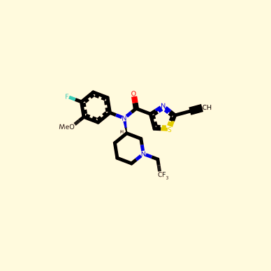 C#Cc1nc(C(=O)N(c2ccc(F)c(OC)c2)[C@@H]2CCCN(CC(F)(F)F)C2)cs1